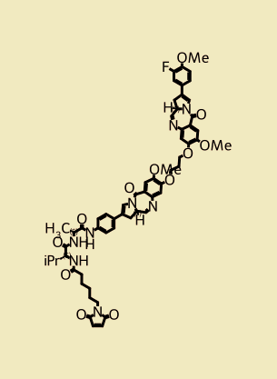 COc1ccc(C2=CN3C(=O)c4cc(OC)c(OCCCOc5cc6c(cc5OC)C(=O)N5C=C(c7ccc(NC(=O)[C@H](C)NC(=O)[C@@H](NC(=O)CCCCCN8C(=O)C=CC8=O)C(C)C)cc7)C[C@H]5C=N6)cc4N=C[C@@H]3C2)cc1F